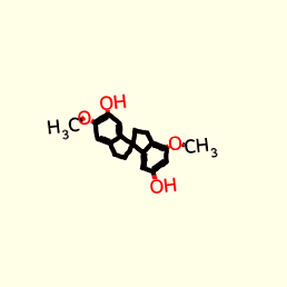 COc1cc2c(cc1O)C1(CC2)CCc2c(OC)cc(O)cc21